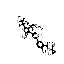 C=CC(F)(F)c1c(C(F)(F)C(F)(F)F)nn(C)c1-c1c[nH]c(-c2ccc(Cl)c(C(=O)NC3(C#N)CC3)c2)n1